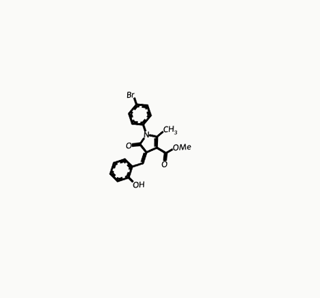 COC(=O)C1=C(C)N(c2ccc(Br)cc2)C(=O)/C1=C\c1ccccc1O